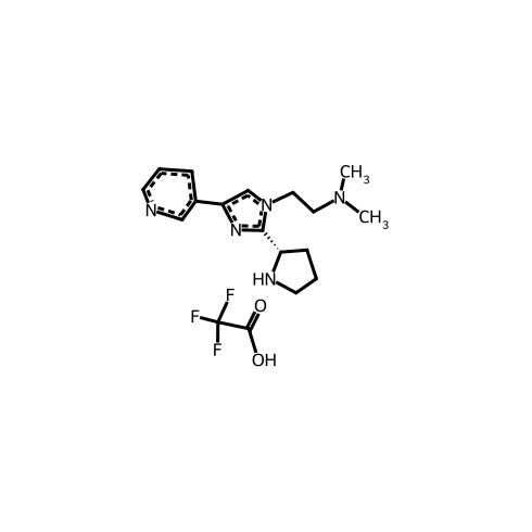 CN(C)CCn1cc(-c2cccnc2)nc1[C@@H]1CCCN1.O=C(O)C(F)(F)F